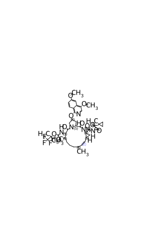 COc1ccc2c(O[C@@H]3C[C@H]4C(=O)N[C@]5(C(=O)NS(=O)(=O)C6(C)CC6)C[C@H]5/C=C\[C@H](C)CCC[C@@H](C)[C@H](NC(=O)OC(C)(C)C(F)(F)F)C(=O)N4C3)ncc(OC)c2c1